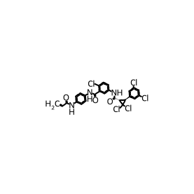 C=CC(=O)Nc1ccc(NC(=O)c2cc(NC(=O)[C@@H]3[C@@H](c4cc(Cl)cc(Cl)c4)C3(Cl)Cl)ccc2Cl)cc1